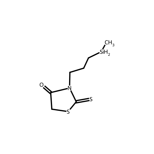 C[SiH2]CCCN1C(=O)CSC1=S